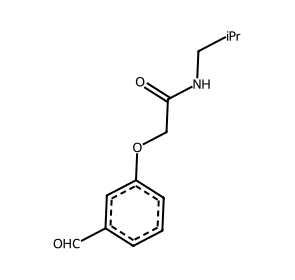 CC(C)CNC(=O)COc1cccc(C=O)c1